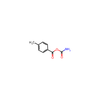 Cc1ccc(C(=O)OC(N)=O)cc1